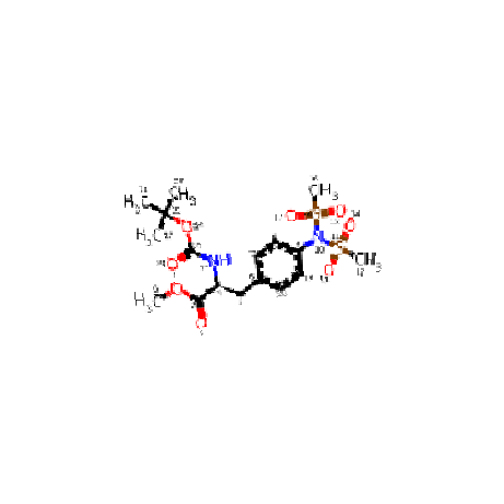 COC(=O)[C@H](Cc1ccc(N(S(C)(=O)=O)S(C)(=O)=O)cc1)NC(=O)OC(C)(C)C